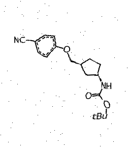 CC(C)(C)OC(=O)N[C@@H]1CC[C@H](COc2ccc(C#N)cc2)C1